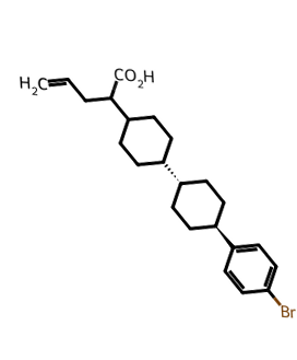 C=CCC(C(=O)O)C1CCC([C@H]2CC[C@H](c3ccc(Br)cc3)CC2)CC1